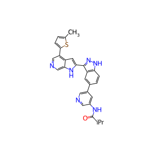 Cc1ccc(-c2cncc3[nH]c(-c4n[nH]c5ccc(-c6cncc(NC(=O)C(C)C)c6)cc45)cc23)s1